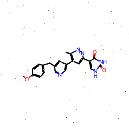 COc1ccc(Cc2cncc(-c3cc(-c4c[nH]c(=O)[nH]c4=O)nnc3C)c2)cc1